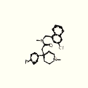 CN1CCC(CC(=O)N(C)Cc2cc(Cl)cc3ccccc23)(c2ccc(F)cc2)CC1